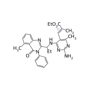 CCOC(=O)/C(C)=C/c1c(C)nc(N)nc1NC(CC)c1nc2cccc(C)c2c(=O)n1-c1ccccc1